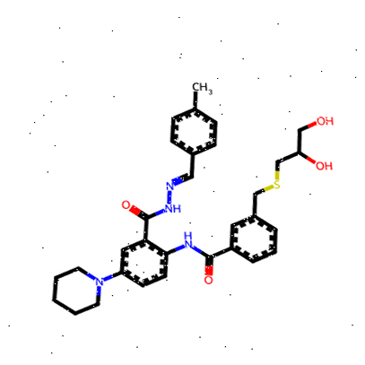 Cc1ccc(C=NNC(=O)c2cc(N3CCCCC3)ccc2NC(=O)c2cccc(CSCC(O)CO)c2)cc1